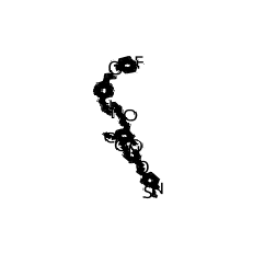 COc1cc(/C=C/C(=O)N2CCN(Cc3ccc(CCOc4ccc(F)cc4)cc3)CC2)cc(OC)c1Oc1ccc(OCc2ccc3ncsc3c2)cn1